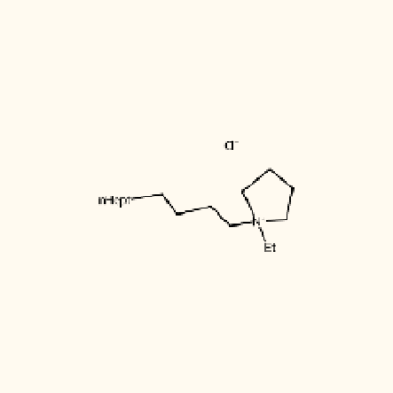 CCCCCCCCCCC[N+]1(CC)CCCC1.[Cl-]